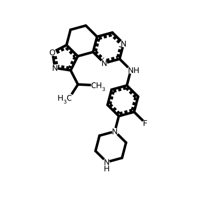 CC(C)c1noc2c1-c1nc(Nc3ccc(N4CCNCC4)c(F)c3)ncc1CC2